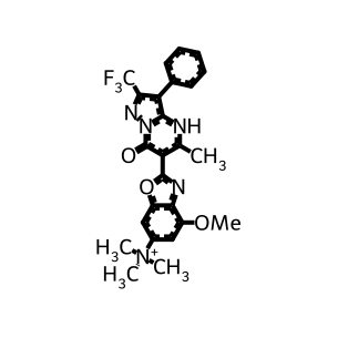 COc1cc([N+](C)(C)C)cc2oc(-c3c(C)[nH]c4c(-c5ccccc5)c(C(F)(F)F)nn4c3=O)nc12